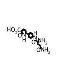 NC(=O)CC[C@H](N)C(=O)Nc1ccc(-c2ccc(C(=O)O)c(=O)[nH]2)cc1